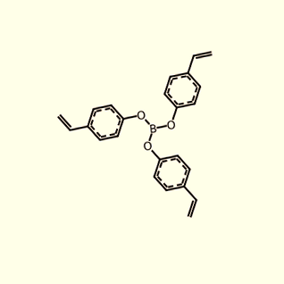 C=Cc1ccc(OB(Oc2ccc(C=C)cc2)Oc2ccc(C=C)cc2)cc1